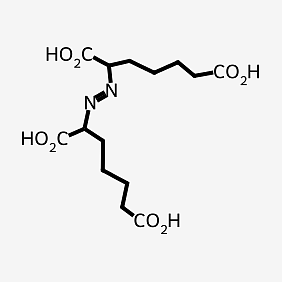 O=C(O)CCCCC(N=NC(CCCCC(=O)O)C(=O)O)C(=O)O